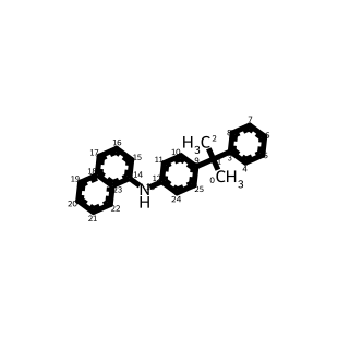 CC(C)(c1ccccc1)c1ccc(Nc2cccc3ccccc23)cc1